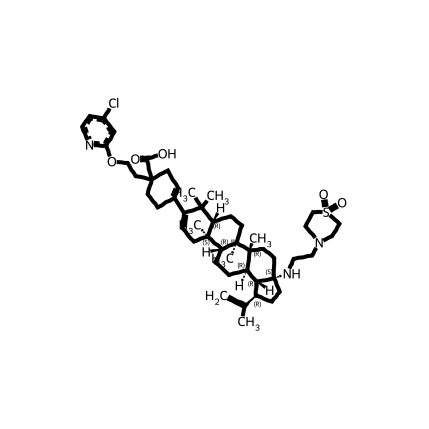 C=C(C)[C@@H]1CC[C@]2(NCCN3CCS(=O)(=O)CC3)CC[C@]3(C)[C@H](CC[C@@H]4[C@@]5(C)CC=C(C6=CCC(CCOc7cc(Cl)ccn7)(C(=O)O)CC6)C(C)(C)[C@@H]5CC[C@]43C)[C@@H]12